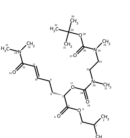 CC(C)COC(=O)[C@H](CC/C=C/C(=O)N(C)C)OC(=O)N(C)CCN(C)C(=O)OC(C)(C)C